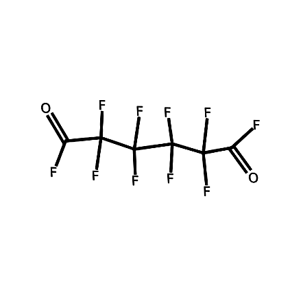 O=C(F)C(F)(F)C(F)(F)C(F)(F)C(F)(F)C(=O)F